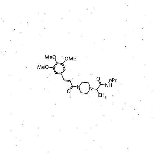 CCCNC(=O)C(C)N1CCN(C(=O)C=Cc2cc(OC)c(OC)c(OC)c2)CC1